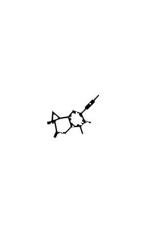 C=CC(=C)Cc1c(C2CC2)cc(C#CC)c(F)c1C(C)C